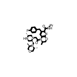 CC(C)NC(=O)c1nc2c(cc1Cc1ccc(F)cc1)N(C(=O)CN1C[C@@H](C)NC[C@@H]1CN1[C@H](C)COC[C@H]1C)C(C)CO2